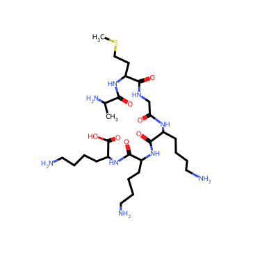 CSCCC(NC(=O)C(C)N)C(=O)NCC(=O)NC(CCCCN)C(=O)NC(CCCCN)C(=O)NC(CCCCN)C(=O)O